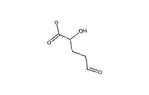 [O]C(=O)C(O)CC[C]=O